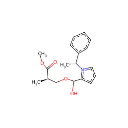 COC(=O)[C@H](C)COC(O)c1cccn1[C@H](C)c1ccccc1